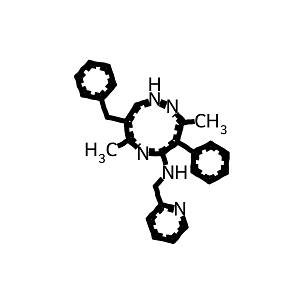 Cc1nc(NCc2ccccn2)c(-c2ccccc2)c(C)n[nH]cc1Cc1ccccc1